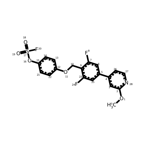 COc1cc(-c2cc(F)c(COc3ccc(OS(=O)(=O)F)cc3)c(F)c2)ccn1